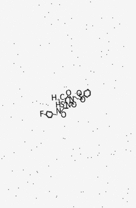 Cc1c(=O)n(CCS(=O)(=O)c2ccccc2)c(=O)n2cc(C(=O)NCc3ccc(F)cc3)sc12